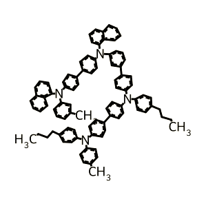 CCCCc1ccc(N(c2ccc(C)cc2)c2ccc(-c3ccc(N(c4ccc(CCCC)cc4)c4ccc(-c5cccc(N(c6ccc(-c7ccc(N(c8cccc(C)c8)c8cccc9ccccc89)cc7)cc6)c6cccc7ccccc67)c5)cc4)cc3)cc2)cc1